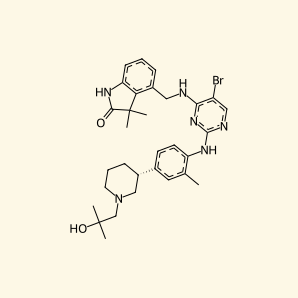 Cc1cc([C@H]2CCCN(CC(C)(C)O)C2)ccc1Nc1ncc(Br)c(NCc2cccc3c2C(C)(C)C(=O)N3)n1